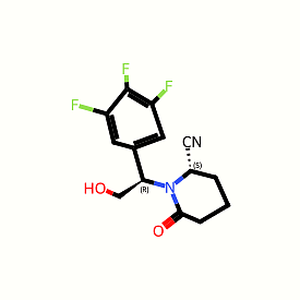 N#C[C@@H]1CCCC(=O)N1[C@@H](CO)c1cc(F)c(F)c(F)c1